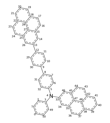 c1ccc(N(c2ccc(-c3ccc(-c4cc5ccc6cccc7ccc(c4)c5c67)cc3)cc2)c2cc3ccc4cccc5ccc(c2)c3c45)cc1